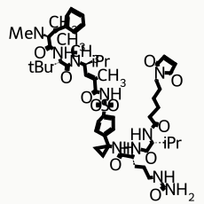 CN[C@H](C(=O)N[C@H](C(=O)N(C)[C@H](/C=C(\C)C(=O)NS(=O)(=O)c1ccc(C2(NC(=O)[C@@H](CCCNC(N)=O)NC(=O)[C@H](NC(=O)CCCCCN3C(=O)C=CC3=O)C(C)C)CC2)cc1)C(C)C)C(C)(C)C)C(C)(C)c1ccccc1